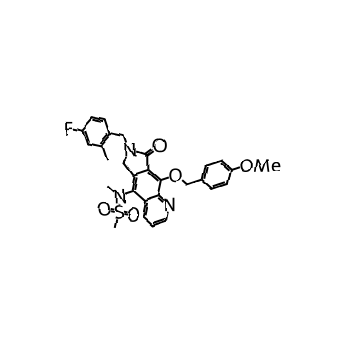 COc1ccc(COc2c3c(c(N(C)S(C)(=O)=O)c4cccnc24)CN(Cc2ccc(F)cc2C)C3=O)cc1